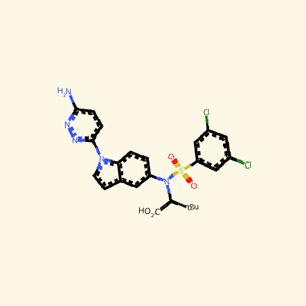 CC(C)(C)C(C(=O)O)N(c1ccc2c(ccn2-c2ccc(N)nn2)c1)S(=O)(=O)c1cc(Cl)cc(Cl)c1